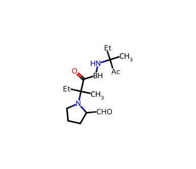 CCC(C)(NBC(=O)C(C)(CC)N1CCCC1C=O)C(C)=O